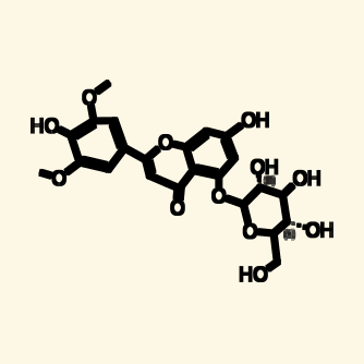 COc1cc(-c2cc(=O)c3c(OC4OC(CO)[C@@H](O)C(O)[C@H]4O)cc(O)cc3o2)cc(OC)c1O